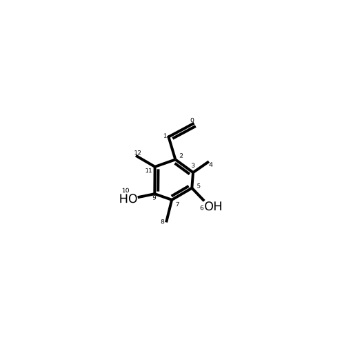 C=Cc1c(C)c(O)c(C)c(O)c1C